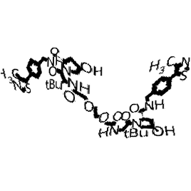 Cc1ncsc1-c1ccc(CNC(=O)[C@@H]2C[C@@H](O)CN2C(=O)[C@@H](NC(=O)COCCOCC(=O)N[C@H](C(=O)N2C[C@H](O)C[C@H]2C(=O)NCc2ccc(-c3scnc3C)cc2)C(C)(C)C)C(C)(C)C)cc1